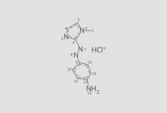 Cl.Cn1ccnc1N=Nc1ccc(N)cc1